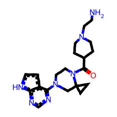 NCCN1CCC(C(=O)N2CCN(c3ncnc4[nH]ccc34)CC23CC3)CC1